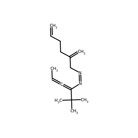 C=CCCC(=C)C/N=N\C(=C=CC)C(C)(C)C